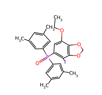 CCOc1cc(P(=O)(c2cc(C)cc(C)c2)c2cc(C)cc(C)c2)c(I)c2c1OCO2